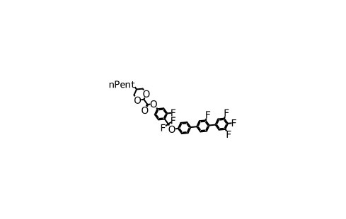 CCCCCC1COC(C(=O)Oc2ccc(C(F)(F)Oc3ccc(-c4ccc(-c5cc(F)c(F)c(F)c5)c(F)c4)cc3)c(F)c2)OC1